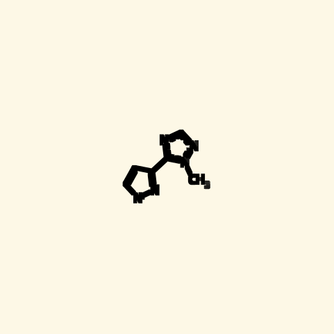 Cn1ncnc1C1=N[N]C=C1